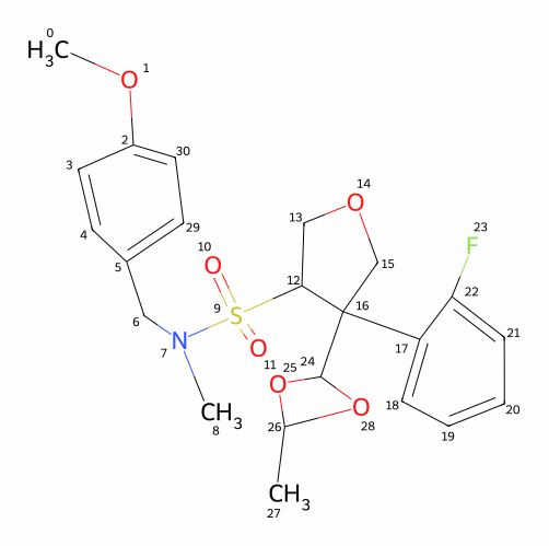 COc1ccc(CN(C)S(=O)(=O)C2COCC2(c2ccccc2F)C2OC(C)O2)cc1